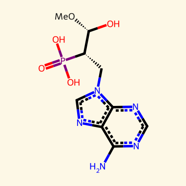 CO[C@H](O)[C@H](Cn1cnc2c(N)ncnc21)P(=O)(O)O